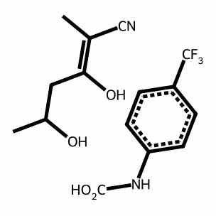 CC(C#N)=C(O)CC(C)O.O=C(O)Nc1ccc(C(F)(F)F)cc1